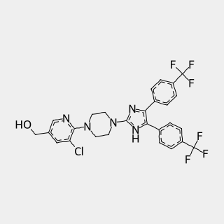 OCc1cnc(N2CCN(c3nc(-c4ccc(C(F)(F)F)cc4)c(-c4ccc(C(F)(F)F)cc4)[nH]3)CC2)c(Cl)c1